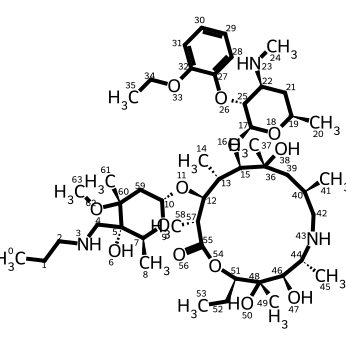 CCCNC[C@]1(O)[C@H](C)O[C@@H](O[C@H]2[C@H](C)[C@@H](O[C@@H]3O[C@H](C)C[C@H](NC)[C@H]3Oc3ccccc3OCC)[C@](C)(O)C[C@@H](C)CN[C@H](C)[C@@H](O)[C@](C)(O)[C@@H](CC)OC(=O)[C@@H]2C)C[C@@]1(C)OC